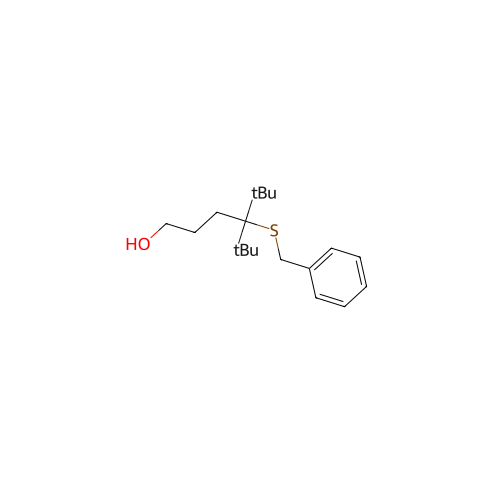 CC(C)(C)C(CCCO)(SCc1ccccc1)C(C)(C)C